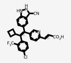 N#CC1NNc2ccc(/C(=C(/c3ccc(Cl)cc3C(F)(F)F)C3CCC3)c3ccc(/C=C/C(=O)O)nc3)cc21